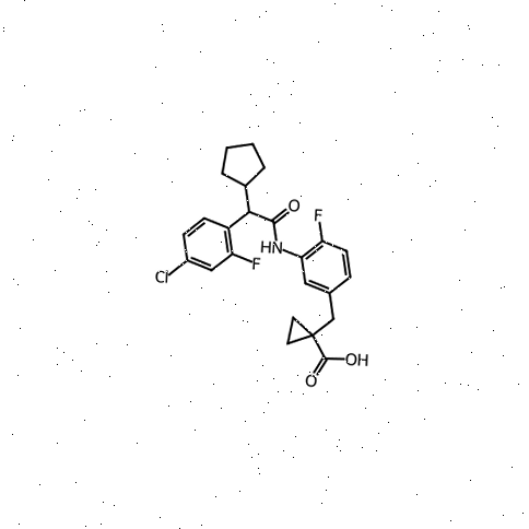 O=C(Nc1cc(CC2(C(=O)O)CC2)ccc1F)C(c1ccc(Cl)cc1F)C1CCCC1